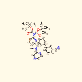 CC(C)(C)OC(=O)N(C(=O)OC(C)(C)C)C1=NC2(c3cccc(-c4cccc(C#N)c4)c3)CN(c3cnccn3)CC2CS1